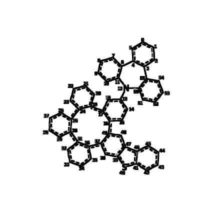 c1ccc2c(c1)-c1ccccc1N(c1ccc3c(c1)c1ccccc1c1ccccc1c1ccccc1c1cc4sc5ccccc5c4cc31)c1ccccc1-2